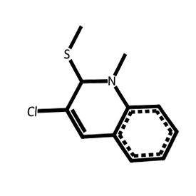 CSC1C(Cl)=Cc2ccccc2N1C